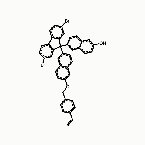 C=Cc1ccc(COc2ccc3cc(C4(c5ccc6cc(O)ccc6c5)c5cc(Br)ccc5-c5ccc(Br)cc54)ccc3c2)cc1